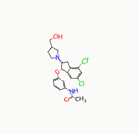 CC(=O)Nc1cccc(O[C@H]2c3cc(Cl)cc(Cl)c3C[C@@H]2N2CCC(CO)C2)c1